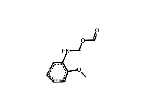 COc1ccccc1N[CH]OC=O